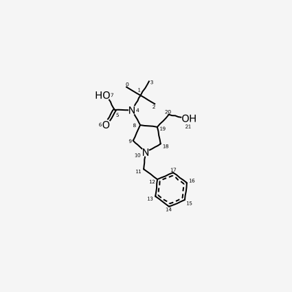 CC(C)(C)N(C(=O)O)C1CN(Cc2ccccc2)CC1CO